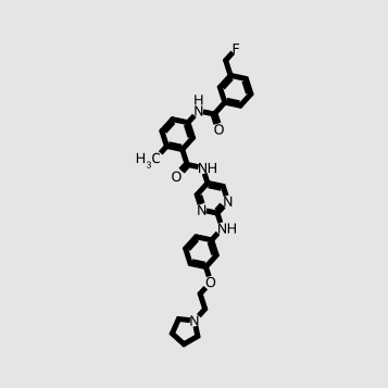 Cc1ccc(NC(=O)c2cccc(CF)c2)cc1C(=O)Nc1cnc(Nc2cccc(OCCN3CCCC3)c2)nc1